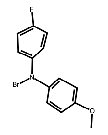 COc1ccc(N(Br)c2ccc(F)cc2)cc1